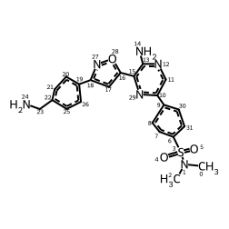 CN(C)S(=O)(=O)c1ccc(-c2cnc(N)c(-c3cc(-c4ccc(CN)cc4)no3)n2)cc1